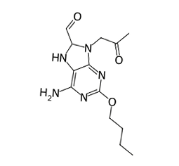 CCCCOc1nc(N)c2c(n1)N(CC(C)=O)C(C=O)N2